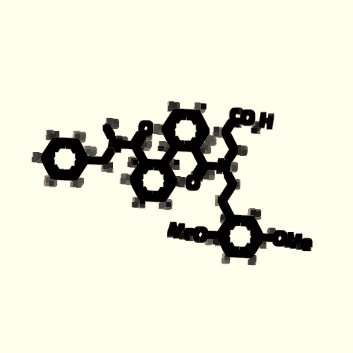 COc1ccc(OC)c(CCN(CCC(=O)O)C(=O)c2ccccc2-c2ccccc2C(=O)N(C)Cc2ccccc2)c1